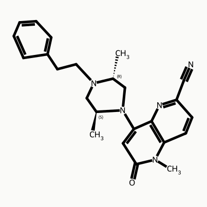 C[C@@H]1CN(c2cc(=O)n(C)c3ccc(C#N)nc23)[C@@H](C)CN1CCc1ccccc1